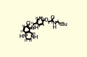 CC(C)(C)CNC(=O)COc1ccc(CNc2c(Cl)ccc3c2CNCCN3)cn1